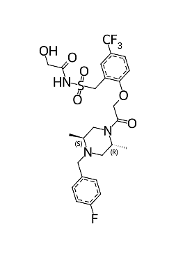 C[C@@H]1CN(Cc2ccc(F)cc2)[C@@H](C)CN1C(=O)COc1ccc(C(F)(F)F)cc1CS(=O)(=O)NC(=O)CO